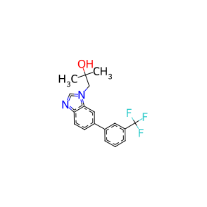 CC(C)(O)Cn1cnc2ccc(-c3cccc(C(F)(F)F)c3)cc21